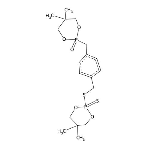 CC1(C)COP(=O)(Cc2ccc(CSP3(=S)OCC(C)(C)CO3)cc2)OC1